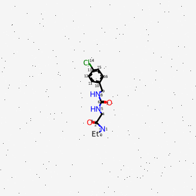 CC[N]C(=O)CNC(=O)NCc1ccc(Cl)cc1